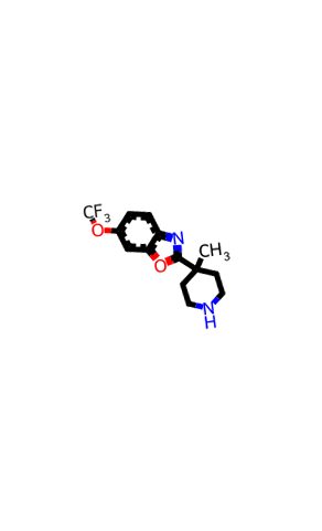 CC1(c2nc3ccc(OC(F)(F)F)cc3o2)CCNCC1